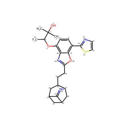 CC(C)(O)C(Oc1ccc(-c2nccs2)c2oc(CCC3CCC4CC(C3)C4=N)nc12)C(F)(F)F